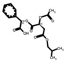 CC(=O)O[C@@H](CC(=O)OCC(C)C)C(=O)O[C@H](C(=O)O)c1ccccc1